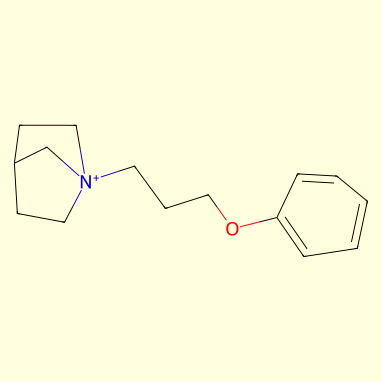 c1ccc(OCCC[N+]23CCC(CC2)C3)cc1